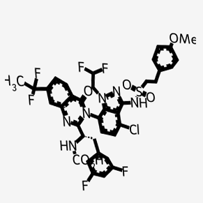 COc1ccc(CCS(=O)(=O)Nc2nn(CC(F)F)c3c(-n4c([C@H](Cc5cc(F)cc(F)c5)NC(=O)O)nc5cc(C(C)(F)F)ccc5c4=O)ccc(Cl)c23)cc1